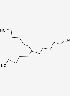 N#CCCCCCC(CCCCC#N)CCCCCC#N